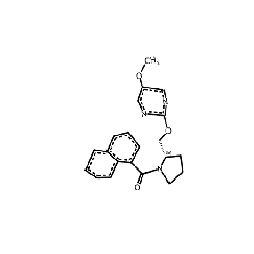 COc1cnc(OC[C@@H]2CCCN2C(=O)c2cccc3ccccc23)nc1